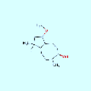 COC1CC(C)(C)C2CCC(C)[C@H](O)CCC12